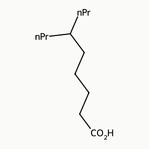 CCCC(CCC)CCCCC(=O)O